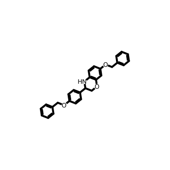 c1ccc(COc2ccc(C3COc4cc(OCc5ccccc5)ccc4N3)cc2)cc1